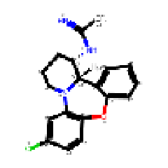 N=C(N[C@H]1CCCN2c3cc(Cl)ccc3Oc3ccccc3[C@@H]12)C(F)(F)F